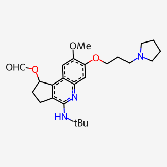 COc1cc2c3c(c(NC(C)(C)C)nc2cc1OCCCN1CCCC1)CCC3OC=O